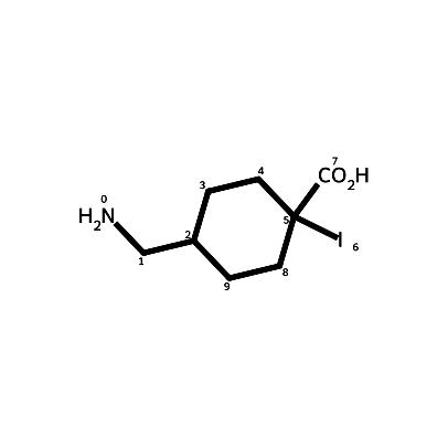 NCC1CCC(I)(C(=O)O)CC1